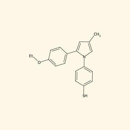 CCOc1ccc(-c2cc(C)cn2-c2ccc(S)cc2)cc1